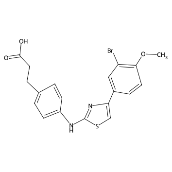 COc1ccc(-c2csc(Nc3ccc(CCC(=O)O)cc3)n2)cc1Br